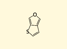 c1cc2cocc2s1